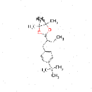 CCC(Cc1ccc(C(C)(C)C)cc1)B1OC(C)(C)C(C)(C)O1